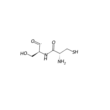 N[C@@H](CS)C(=O)N[C@H]([C]=O)CO